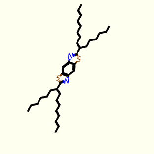 CCCCCCCCC(CCCCCC)c1nc2cc3sc(C(CCCCCC)CCCCCCCC)nc3cc2s1